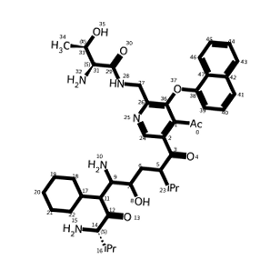 CC(=O)c1c(C(=O)C(CC(O)C(N)C(C(=O)[C@@H](N)C(C)C)C2CCCCC2)C(C)C)cnc(CNC(=O)[C@@H](N)[C@@H](C)O)c1Oc1cccc2ccccc12